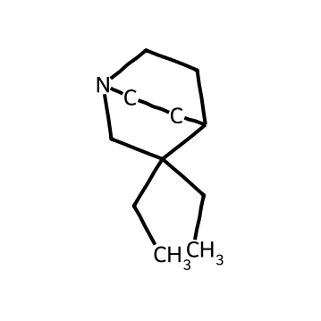 CCC1(CC)CN2CCC1CC2